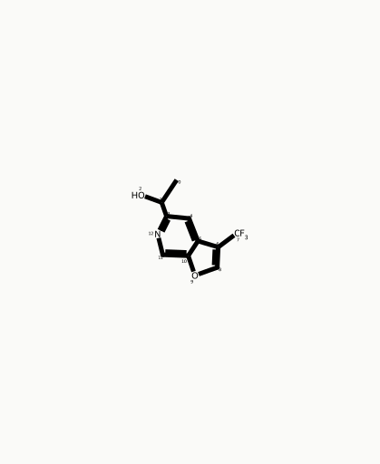 CC(O)c1cc2c(C(F)(F)F)coc2cn1